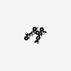 C=CC(=O)N1CCN(c2nc(=O)n(-c3ccccc3CCC)c3cc(-c4c(F)cccc4OCCCNC(=O)c4ccccc4I)c(Cl)cc23)[C@@H](C)C1